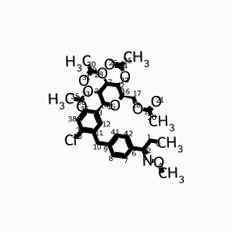 CC/C(=N\OC)c1ccc(Cc2cc([C@@H]3O[C@H](COC(C)=O)[C@@H](OC(C)=O)[C@H](OC(C)=O)[C@H]3OC(C)=O)ccc2Cl)cc1